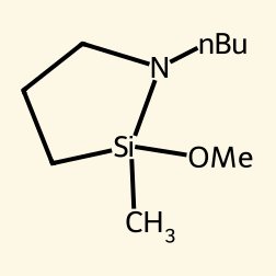 CCCCN1CCC[Si]1(C)OC